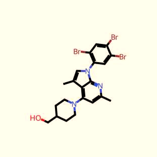 Cc1cc(N2CCC(CO)CC2)c2c(C)cn(-c3cc(Br)c(Br)cc3Br)c2n1